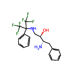 N[C@@H](Cc1ccccc1)[C@H](O)CNC(c1ccccc1)(C(F)(F)F)C(F)(F)F